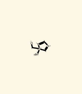 CCCC[N+]1(CCl)C=NC=N1